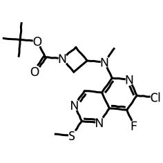 CSc1ncc2c(N(C)C3CN(C(=O)OC(C)(C)C)C3)nc(Cl)c(F)c2n1